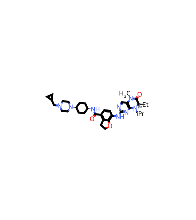 CC[C@@H]1C(=O)N(C)c2cnc(Nc3ccc(C(=O)N[C@H]4CC[C@@H](N5CCN(CC6CC6)CC5)CC4)c4c3OCC4)nc2N1C(C)C